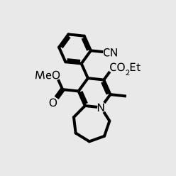 CCOC(=O)C1=C(C)N2CCCCCC2=C(C(=O)OC)C1c1ccccc1C#N